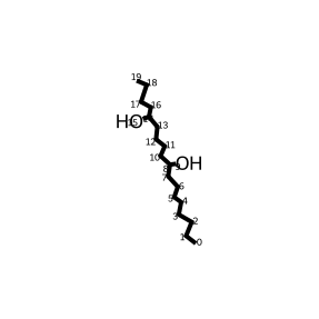 CCCCCCCCC(O)CCCCC(O)CCCC